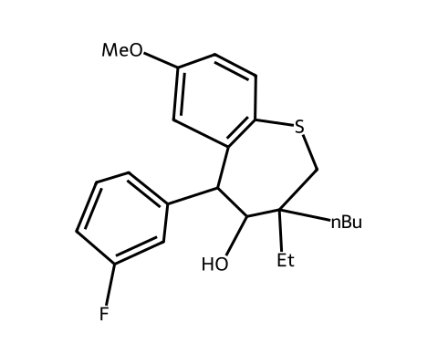 CCCCC1(CC)CSc2ccc(OC)cc2C(c2cccc(F)c2)C1O